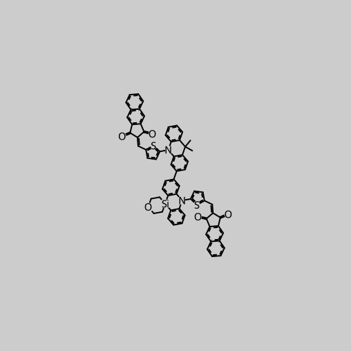 CC1(C)c2ccccc2N(c2ccc(C=C3C(=O)c4cc5ccccc5cc4C3=O)s2)c2cc(-c3ccc4c(c3)N(c3ccc(C=C5C(=O)c6cc7ccccc7cc6C5=O)s3)c3ccccc3[Si]43CCOCC3)ccc21